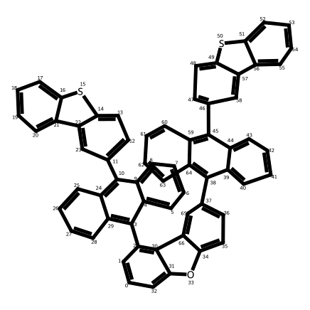 c1cc(-c2c3ccccc3c(-c3ccc4sc5ccccc5c4c3)c3ccccc23)c2c(c1)oc1ccc(-c3c4ccccc4c(-c4ccc5sc6ccccc6c5c4)c4ccccc34)cc12